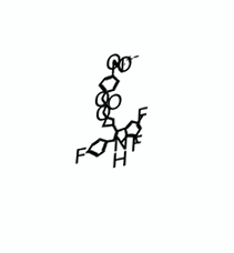 O=C(Oc1ccc([N+](=O)[O-])cc1)OC1CC(c2c(-c3ccc(F)cc3)[nH]c3c(F)cc(F)cc23)C1